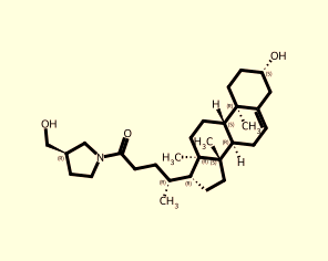 C[C@H](CCC(=O)N1CC[C@@H](CO)C1)[C@H]1CC[C@@]2(C)[C@@H]3CC=C4C[C@@H](O)CC[C@]4(C)[C@H]3CC[C@]12C